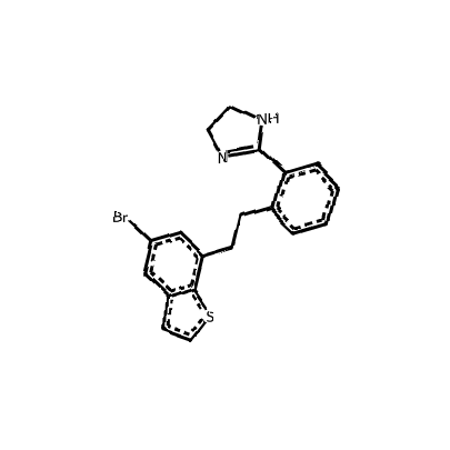 Brc1cc(CCc2ccccc2C2=NCCN2)c2sccc2c1